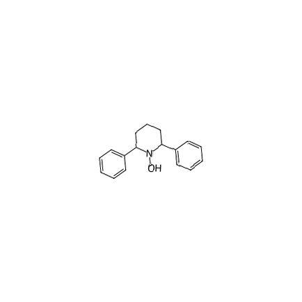 ON1C(c2ccccc2)CCCC1c1ccccc1